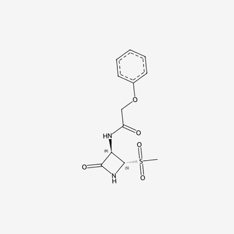 CS(=O)(=O)[C@@H]1NC(=O)[C@H]1NC(=O)COc1ccccc1